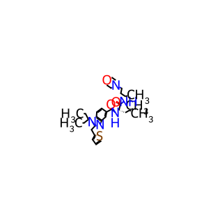 CCC(CC)n1c(Cc2cccs2)nc2cc(C(=O)N[C@@H](CC(C)C)C(=O)NC(C)CCN3CCOCC3)ccc21